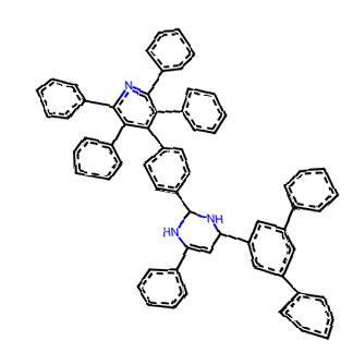 C1=C(c2ccccc2)NC(c2ccc(-c3c(-c4ccccc4)c(-c4ccccc4)nc(-c4ccccc4)c3-c3ccccc3)cc2)NC1c1cc(-c2ccccc2)cc(-c2ccccc2)c1